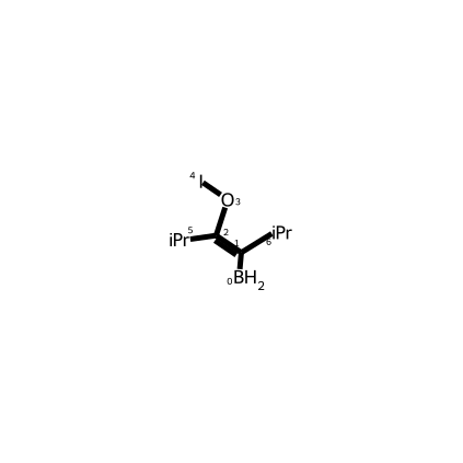 B/C(=C(/OI)C(C)C)C(C)C